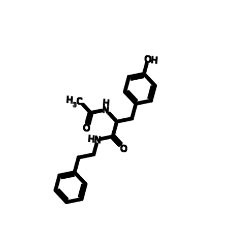 CC(=O)NC(Cc1ccc(O)cc1)C(=O)NCCc1ccccc1